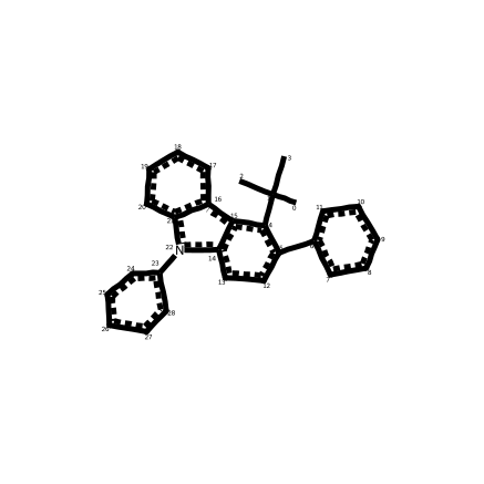 CC(C)(C)c1c(-c2ccccc2)ccc2c1c1ccccc1n2-c1ccccc1